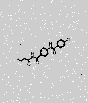 CCCC(=O)NC(=O)c1ccc(NC(=O)c2ccc(Cl)cc2)cc1